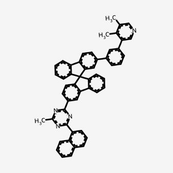 Cc1nc(-c2ccc3c(c2)-c2ccccc2C32c3ccccc3-c3ccc(-c4cccc(-c5cncc(C)c5C)c4)cc32)nc(-c2cccc3ccccc23)n1